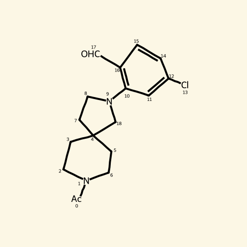 CC(=O)N1CCC2(CC1)CCN(c1cc(Cl)ccc1C=O)C2